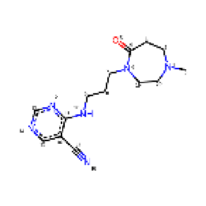 CN1CCC(=O)N(CCCNc2ncncc2C#N)CC1